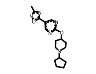 Cc1noc(-c2cnc(OC3CCN(C4CCCC4)CC3)nc2)n1